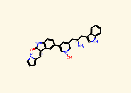 N[C@@H](CC1=CC(c2ccc3c(c2)/C(=C/c2ccc[nH]2)C(=O)N3)=CN(O)C1)Cc1c[nH]c2ccccc12